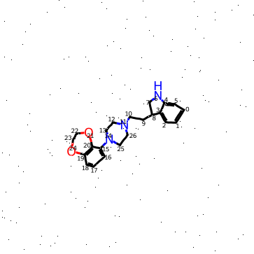 c1ccc2c(c1)NCC2CCN1CCN(c2cccc3c2OCCO3)CC1